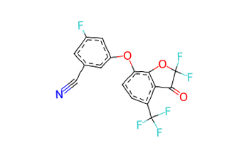 N#Cc1cc(F)cc(Oc2ccc(C(F)(F)F)c3c2OC(F)(F)C3=O)c1